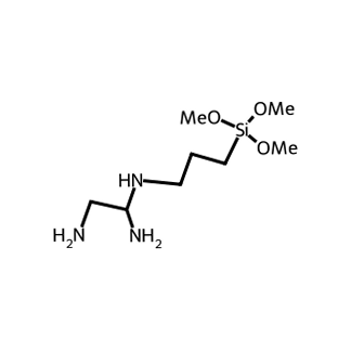 CO[Si](CCCNC(N)CN)(OC)OC